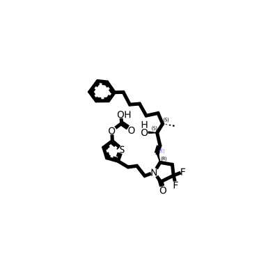 C[C@@H](CCCCCc1ccccc1)[C@H](O)/C=C/[C@H]1CC(F)(F)C(=O)N1CCCc1ccc(OC(=O)O)s1